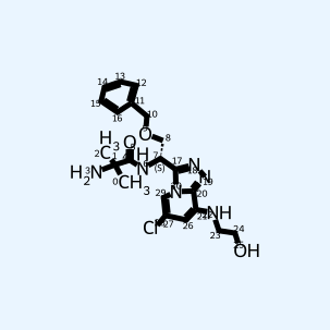 CC(C)(N)C(=O)N[C@H](COCc1ccccc1)c1nnc2c(NCCO)cc(Cl)cn12